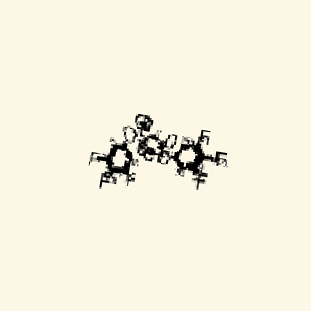 O=S(=O)(CS(=O)(=O)Oc1cc(F)c(F)c(F)c1)Oc1cc(F)c(F)c(F)c1